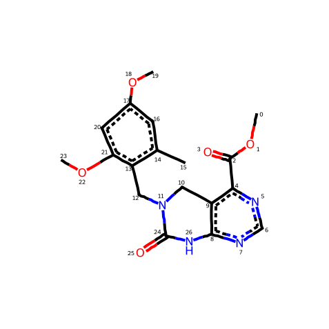 COC(=O)c1ncnc2c1CN(Cc1c(C)cc(OC)cc1OC)C(=O)N2